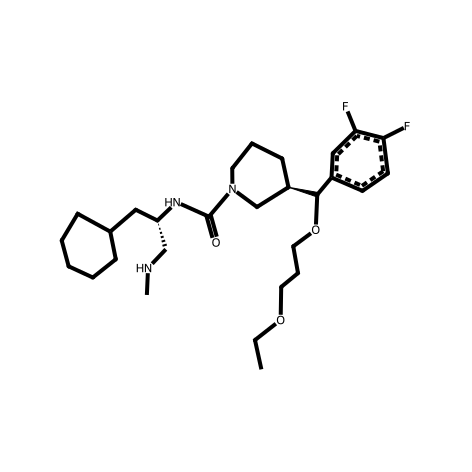 CCOCCCOC(c1ccc(F)c(F)c1)[C@@H]1CCCN(C(=O)N[C@H](CNC)CC2CCCCC2)C1